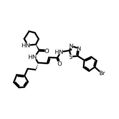 O=C(C=C[C@H](CCc1ccccc1)NC(=O)[C@@H]1CCCCN1)Nc1nnc(-c2ccc(Br)cc2)s1